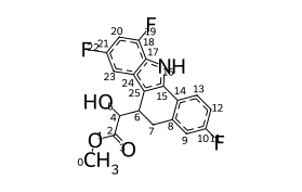 COC(=O)C(O)C1Cc2cc(F)ccc2-c2[nH]c3c(F)cc(F)cc3c21